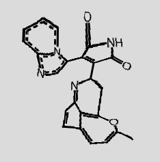 CC1=CC=C2C=CC3=NC(C4=C(c5cnc6ccccn56)C(=O)NC4=O)CC(=C23)O1